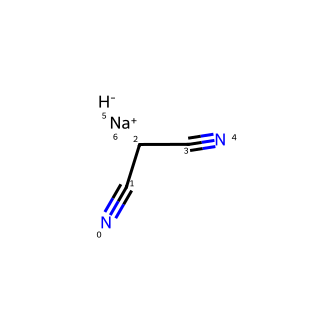 N#CCC#N.[H-].[Na+]